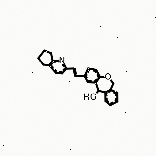 OC1c2ccccc2COc2ccc(C=Cc3ccc4c(n3)CCCC4)cc21